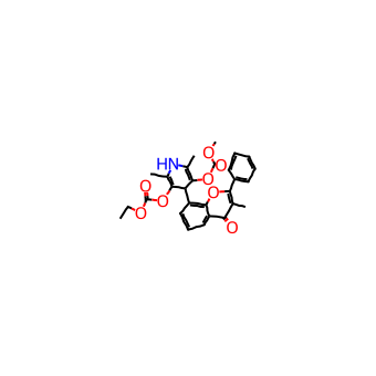 CCOC(=O)OC1=C(C)NC(C)=C(OC(=O)OC)C1c1cccc2c(=O)c(C)c(-c3ccccc3)oc12